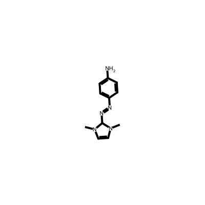 CN1C=CN(C)C1/N=N/c1ccc(N)cc1